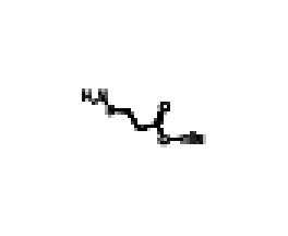 CCCCOC(=O)CCSN